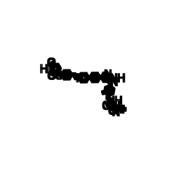 Cc1cc(-c2n[nH]c3ncc(-c4ccc(C5CCN(CCc6ccc(OC7CCC(=O)NC7=O)cc6)CC5)cc4)cc23)ccc1CNC(=O)c1nc(C(C)(C)C)no1